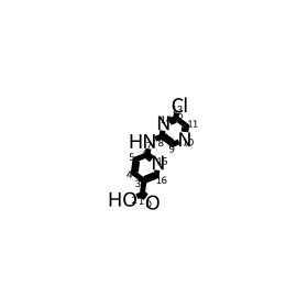 O=C(O)c1ccc(Nc2cncc(Cl)n2)nc1